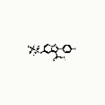 NC(=O)c1c(-c2ccc(F)cc2)nn2ccc(OS(=O)(=O)C(F)(F)F)cc12